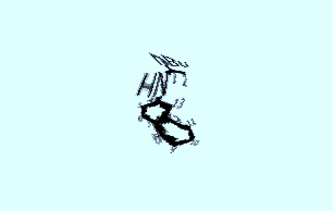 CCCC[C@@H](C)Nc1ccc2ccccc2c1